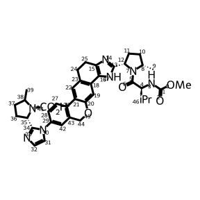 COC(=O)N[C@H](C(=O)N1[C@@H](C)CC[C@H]1c1nc2c([nH]1)-c1cc3c(cc1CC2)-c1ccc(-n2ccnc2[C@@H]2CCC(C)N2C(=O)O)cc1CO3)C(C)C